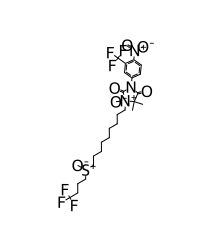 CC1(C)C(=O)N(c2ccc([N+](=O)[O-])c(C(F)(F)F)c2)C(=O)[N+]1([O-])CCCCCCCCC[S+]([O-])CCCC(F)(F)F